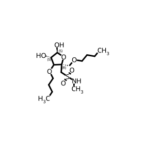 CCCCOC[C@@]1(CS(=O)(=O)NC)O[C@H](O)[C@@H](O)C1OCCCC